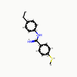 CCc1ccc(NC(=N)c2ccc(SC)cc2)cc1